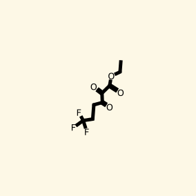 CCOC(=O)C(=O)C(=O)CCC(F)(F)F